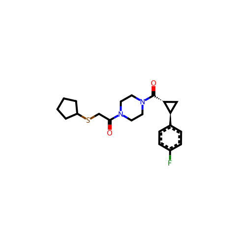 O=C(CSC1CCCC1)N1CCN(C(=O)[C@@H]2C[C@H]2c2ccc(F)cc2)CC1